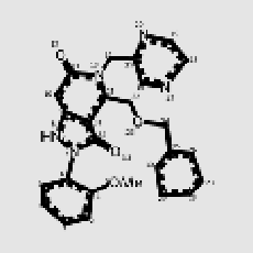 COc1ccccc1-n1[nH]c2cc(=O)n(Cc3cnccn3)c(COCc3ccccc3)c2c1=O